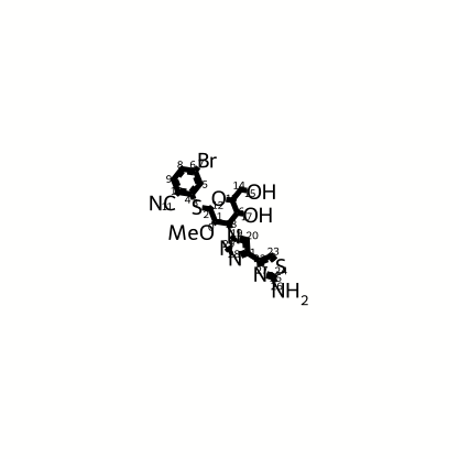 COC1C(Sc2cc(Br)ccc2C#N)OC(CO)C(O)C1n1cc(-c2csc(N)n2)nn1